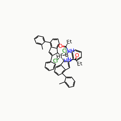 CCC(=O)N[B](NC(=O)CC)[Hf]([Cl])([Cl])([CH]1C(c2ccccc2)=Cc2c(-c3ccccc3C)cccc21)[CH]1C(c2ccccc2)=Cc2c(-c3ccccc3C)cccc21